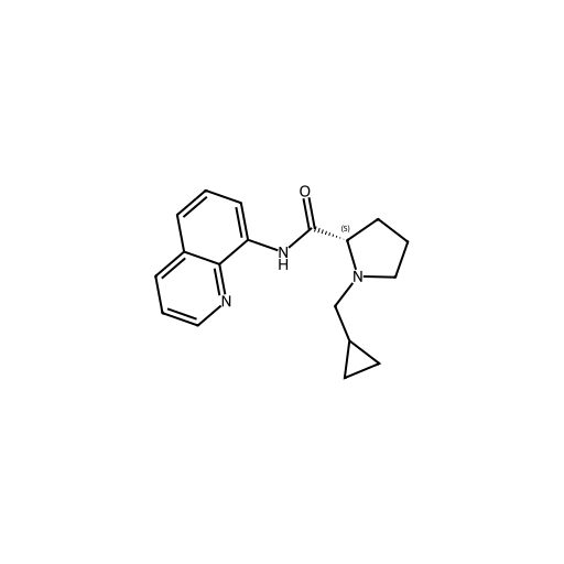 O=C(Nc1cccc2cccnc12)[C@@H]1CCCN1CC1CC1